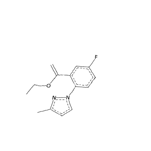 C=C(OCC)c1cc(F)ccc1-n1ccc(C)n1